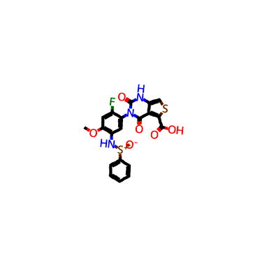 COc1cc(F)c(-n2c(=O)[nH]c3csc(C(=O)O)c3c2=O)cc1N[S+]([O-])c1ccccc1